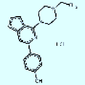 CCN1CCN(c2nc(-c3ccc(O)cc3)cc3sccc23)CC1.Cl